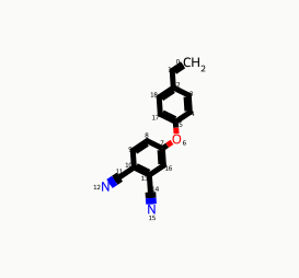 C=Cc1ccc(Oc2ccc(C#N)c(C#N)c2)cc1